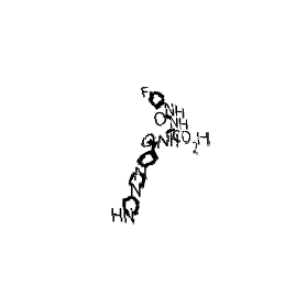 O=C(Nc1ccc(F)cc1)N[C@@H](CNC(=O)c1ccc(N2CCN(C3CCNCC3)CC2)cc1)C(=O)O